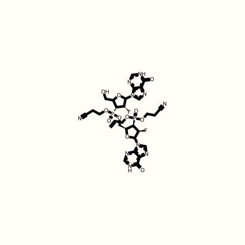 C=CCOP(=O)(OCCC#N)[C@@H]1[C@H](COP(=O)(OCCC#N)[C@@H]2C(CO)OC(n3cnc4c(=O)[nH]cnc43)[C@@H]2F)OC(n2cnc3c(=O)[nH]cnc32)[C@@H]1F